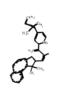 C=C(/C(I)=C\C1Cc2ccc3ccccc3c2C1(C)C)C1C=C(C(C)(C)CC)C=CN1